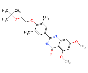 COc1cc(OC)c2c(=O)[nH]c(-c3cc(C)c(OCCOC(C)(C)C)c(C)c3)nc2c1